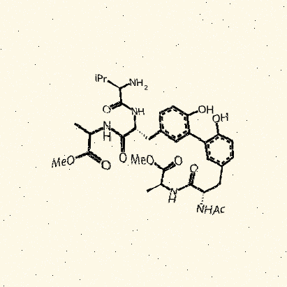 COC(=O)C(C)NC(=O)[C@@H](Cc1ccc(O)c(-c2cc(C[C@H](NC(C)=O)C(=O)N[C@@H](C)C(=O)OC)ccc2O)c1)NC(=O)[C@H](N)C(C)C